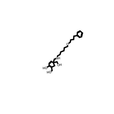 OCC1=C(O)C=CC(CO)(CNCCCCCCOCCCCc2ccccc2)C1